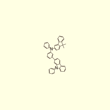 CC1(C)c2ccccc2-c2cc(N(c3ccccc3)c3cccc(-c4ccc5c6ccccc6n(-c6ccccc6)c5c4)c3)ccc21